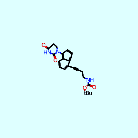 CC(C)(C)OC(=O)NCCC#Cc1cccc2c(N3CCC(=O)NC3=O)cccc12